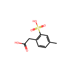 Cc1ccc(CC(=O)O)c(S(=O)(=O)O)c1